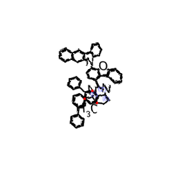 CC1C/C=C(c2cccc(-c3ccccc3)c2)/N=C(c2ccc(-n3c4ccccc4c4cc5ccccc5cc43)c3oc4ccccc4c23)\N=C/1c1cccc(-c2ccccc2)c1